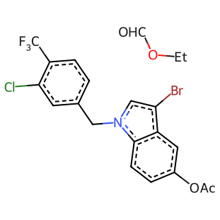 CC(=O)Oc1ccc2c(c1)c(Br)cn2Cc1ccc(C(F)(F)F)c(Cl)c1.CCOC=O